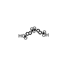 O=C(O)c1ccc2cc(C(=O)OC(=O)c3ccc4cc(C(=O)O)ccc4c3)ccc2c1